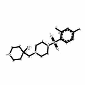 Cc1ccc(S(=O)(=O)N2CCN(CC3(O)CCOCC3)CC2)c(C)c1